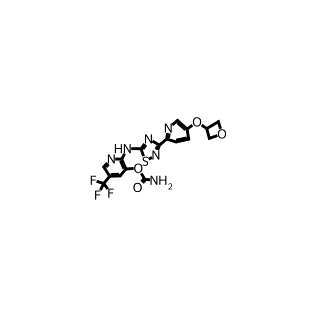 NC(=O)Oc1cc(C(F)(F)F)cnc1Nc1nc(-c2ccc(OC3COC3)cn2)ns1